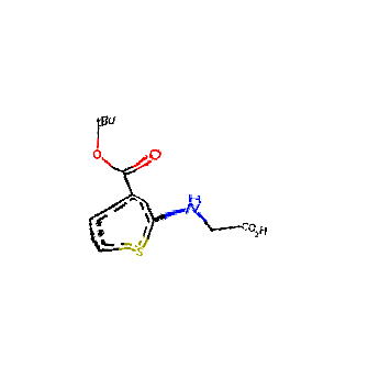 CC(C)(C)OC(=O)c1ccsc1NCC(=O)O